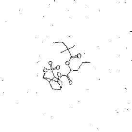 CCCC(OC(=O)C(C)(C)CC)C(=O)OC1C2CC3C1OS(=O)(=O)C3C2